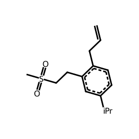 C=CCc1ccc(C(C)C)cc1CCS(C)(=O)=O